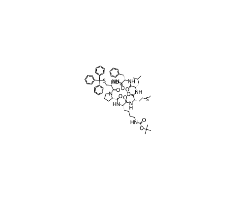 CSCC[C@H](NC(=O)[C@H](CCCCNC(=O)OC(C)(C)C)NC(=O)[C@@H]1CCCN1C(=O)[C@@H](N)CSC(c1ccccc1)(c1ccccc1)c1ccccc1)C(=O)N[C@@H](CC(C)C)C(=O)N[C@@H](Cc1ccccc1)C(=O)O